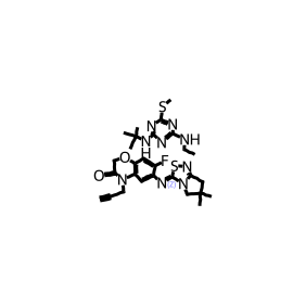 C#CCN1C(=O)COc2cc(F)c(/N=c3\snc4n3CC(C)(C)C4)cc21.CCNc1nc(NC(C)(C)C)nc(SC)n1